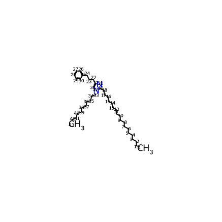 CCCCCCCCCCCCCCCCCCCc1nc(CCCc2ccccc2)cn1CCCCCCCCCCC